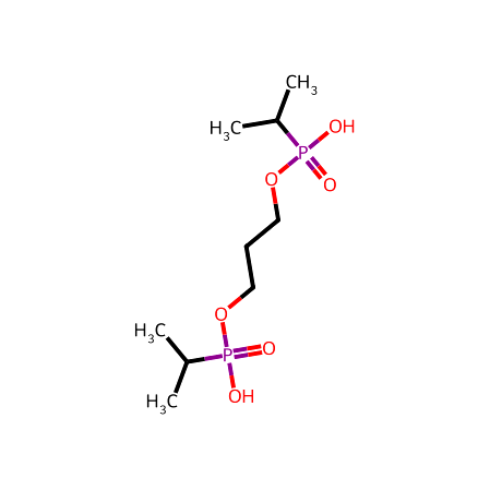 CC(C)P(=O)(O)OCCCOP(=O)(O)C(C)C